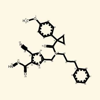 COc1ccc(C2(C(=O)N(CCCc3ccccc3)Cc3nc(C(=O)N=N)c(C#N)s3)CC2)cc1